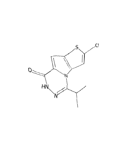 CC(C)c1n[nH]c(=O)c2cc3sc(Cl)cc3n12